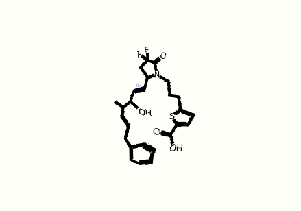 CC(CCCc1ccccc1)C(O)/C=C/C1CC(F)(F)C(=O)N1CCCc1ccc(C(=O)O)s1